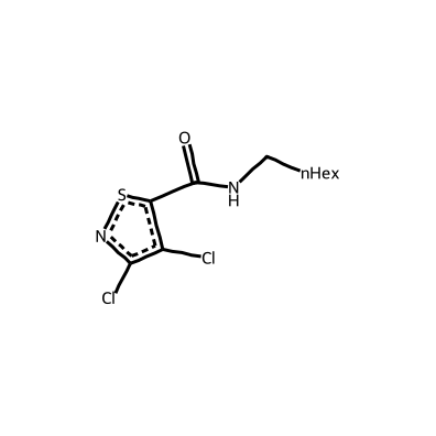 CCCCCCCNC(=O)c1snc(Cl)c1Cl